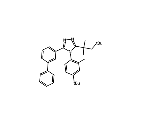 Cc1cc(C(C)(C)C)ccc1-n1c(-c2cccc(-c3ccccc3)c2)nnc1C(C)(C)CC(C)(C)C